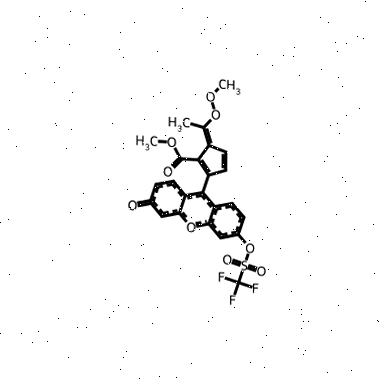 COO/C(C)=C1\C=CC(c2c3ccc(=O)cc-3oc3cc(OS(=O)(=O)C(F)(F)F)ccc23)=C1C(=O)OC